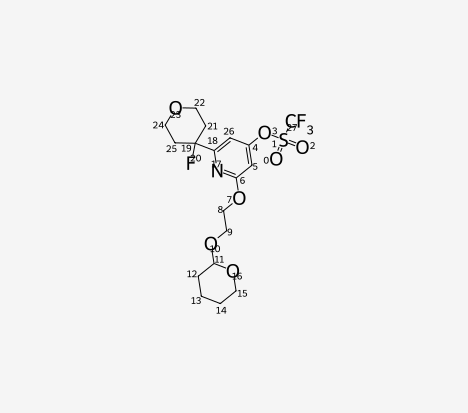 O=S(=O)(Oc1cc(OCCOC2CCCCO2)nc(C2(F)CCOCC2)c1)C(F)(F)F